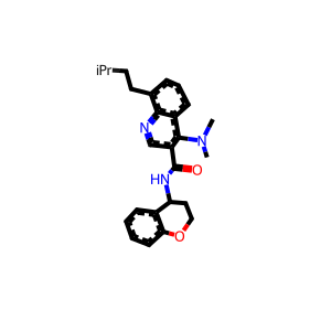 CC(C)CCc1cccc2c(N(C)C)c(C(=O)NC3CCOc4ccccc43)cnc12